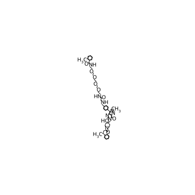 Cc1ccccc1C(=O)NCCOCCOCCOCCOCCNC(=O)CNCc1ccc(-c2c3ncn(CC4(O)CCN(C(=O)CC(C)c5ccccc5)CC4)c(=O)c3nn2C)cc1